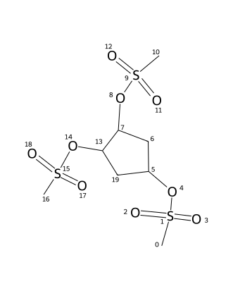 CS(=O)(=O)OC1CC(OS(C)(=O)=O)C(OS(C)(=O)=O)C1